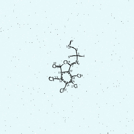 CSCC(C)(C)N=C1OC(=O)c2c(Cl)c(Cl)c(Cl)c(Cl)c21